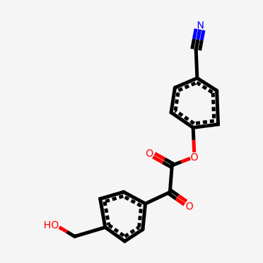 N#Cc1ccc(OC(=O)C(=O)c2ccc(CO)cc2)cc1